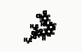 CCOP(=O)(CC(=O)Nc1cc2c(Nc3ccc(Cl)c(Cl)c3)ncnc2cn1)OCC